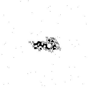 CC(C)[Si]1(C(C)C)OC[C@H]2O[C@@](C#N)(c3ccc4c(N)ncnn34)[C@H](O)[C@@H]2O[Si](C(C)C)(C(C)C)O1